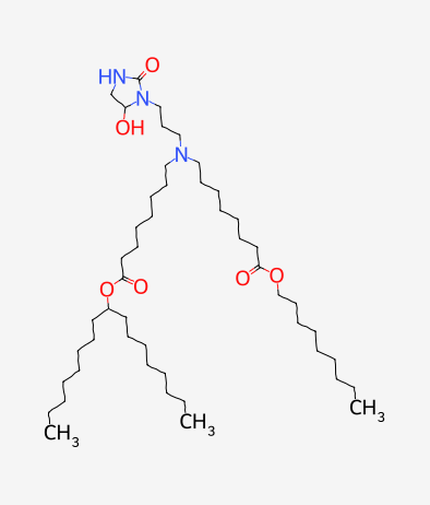 CCCCCCCCCOC(=O)CCCCCCCN(CCCCCCCC(=O)OC(CCCCCCCC)CCCCCCCC)CCCN1C(=O)NCC1O